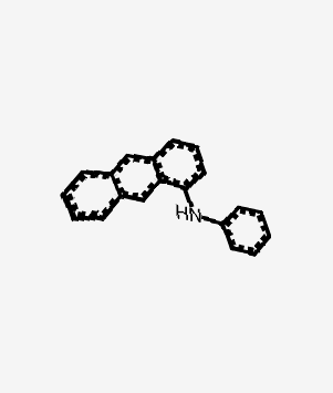 c1ccc(Nc2cccc3cc4ccccc4cc23)cc1